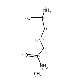 C.NC(=O)CNCC(N)=O